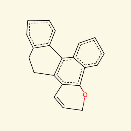 C1=Cc2c3c(c4ccccc4c2OC1)-c1ccccc1CC3